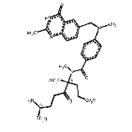 Cc1nc2ccc(CN(C)c3ccc(C(=O)N(C)[C@@](CCC(=O)O)(C(=O)O)C(=O)CC[C@H](N)C(=O)O)cc3)cc2c(=O)[nH]1